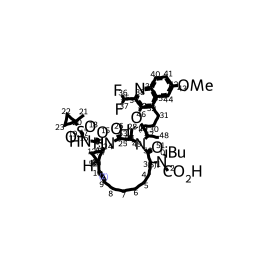 CCC(C)N(C(=O)O)[C@H]1CCCCC/C=C\[C@@H]2C[C@@]2(C(=O)NS(=O)(=O)C2(C)CC2)NC(=O)[C@@H]2C[C@]3(CCc4c(c(C(F)F)nc5ccc(OC)cc45)O3)C(C)N2C1=O